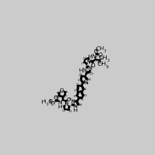 COC(=O)N[C@H](C(=O)N1CCC[C@H]1c1ncc(-c2ccc(-c3ccc4cc(-c5c[nH]c([C@@H]6CCCN6C(=O)[C@@H](NC(=O)OC)C6CCOCC6)n5)ccc4c3)nc2)[nH]1)C(C)C